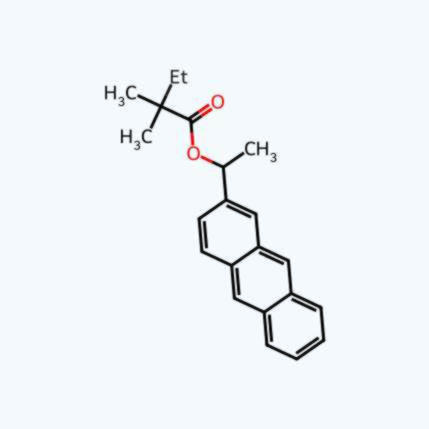 CCC(C)(C)C(=O)OC(C)c1ccc2cc3ccccc3cc2c1